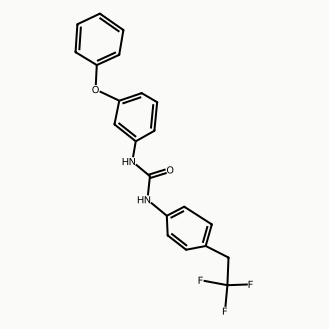 O=C(Nc1ccc(CC(F)(F)F)cc1)Nc1cccc(Oc2ccccc2)c1